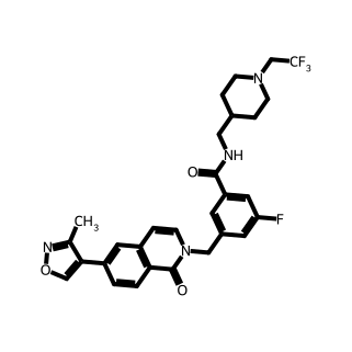 Cc1nocc1-c1ccc2c(=O)n(Cc3cc(F)cc(C(=O)NCC4CCN(CC(F)(F)F)CC4)c3)ccc2c1